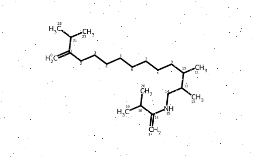 C=C(CCCCCCCCC(C)C(C)CNC(=C)C(C)C)C(C)C